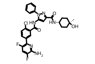 C[C@]1(O)CC[C@H](NC(=O)c2cc(NC(=O)c3cc(-c4nc(N)c(F)cc4F)ccc3Cl)n(-c3ccccc3)n2)CC1